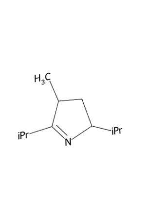 CC(C)C1=NC(C(C)C)CC1C